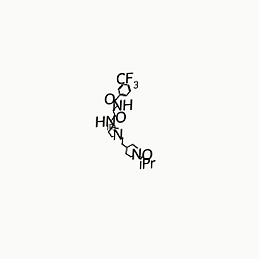 CC(C)C(=O)N1CCC(CCN2CC[C@@H](NC(=O)CNC(=O)c3cccc(C(F)(F)F)c3)C2)CC1